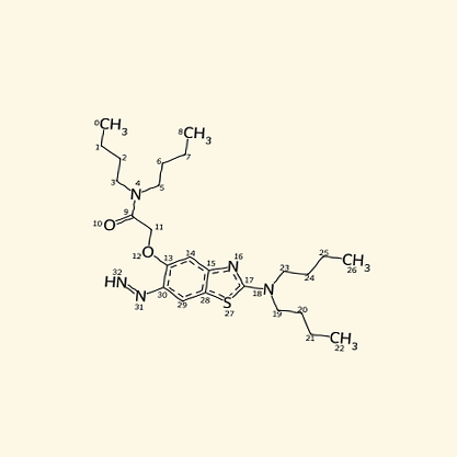 CCCCN(CCCC)C(=O)COc1cc2nc(N(CCCC)CCCC)sc2cc1N=N